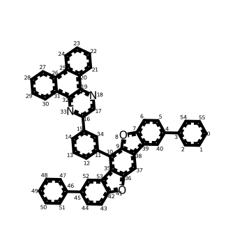 c1ccc(-c2ccc3oc4c(-c5cccc(-c6cnc7c8ccccc8c8ccccc8c7n6)c5)c5c(cc4c3c2)oc2ccc(-c3ccccc3)cc25)cc1